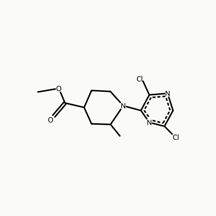 COC(=O)C1CCN(c2nc(Cl)cnc2Cl)C(C)C1